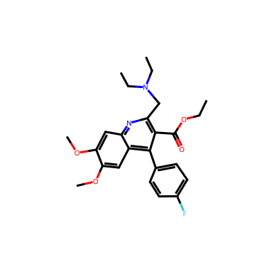 CCOC(=O)c1c(CN(CC)CC)nc2cc(OC)c(OC)cc2c1-c1ccc(F)cc1